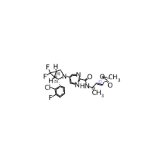 C[C@@H](/C=C/S(C)(=O)=O)NC(=O)c1ncc(N2C[C@@H]3[C@H]([C@H]2c2cccc(F)c2Cl)C3(F)F)cn1